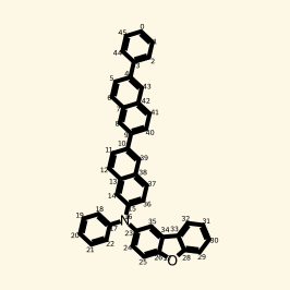 c1ccc(-c2ccc3cc(-c4ccc5cc(N(c6ccccc6)c6ccc7oc8ccccc8c7c6)ccc5c4)ccc3c2)cc1